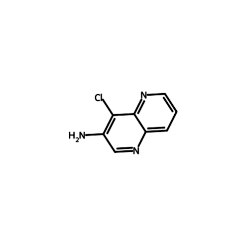 Nc1cnc2cccnc2c1Cl